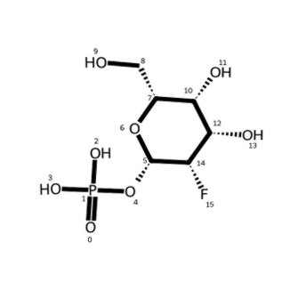 O=P(O)(O)O[C@@H]1O[C@H](CO)[C@H](O)[C@H](O)[C@@H]1F